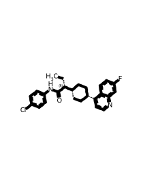 CC[C@@H](C(=O)Nc1ccc(Cl)cc1)[C@H]1CC[C@@H](c2ccnc3cc(F)ccc32)CC1